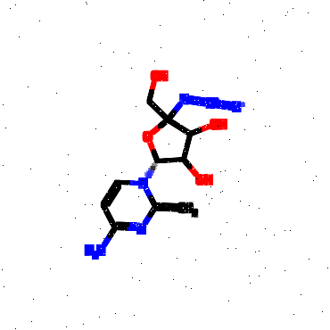 C=C1N=C(N)C=CN1[C@@H]1OC(CO)(N=[N+]=[N-])C(O)C1O